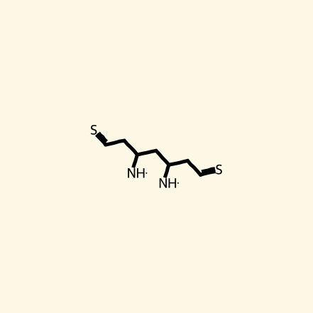 [NH]C(CC=S)CC([NH])CC=S